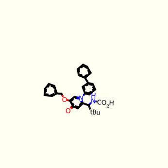 CC(C)(C)C(NC(=O)O)c1cc(=O)c(OCc2ccccc2)cn1-c1cccc(-c2ccccc2)c1